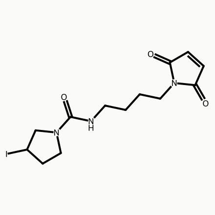 O=C(NCCCCN1C(=O)C=CC1=O)N1CCC(I)C1